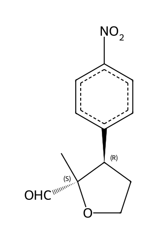 C[C@]1(C=O)OCC[C@@H]1c1ccc([N+](=O)[O-])cc1